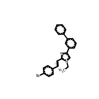 CCn1cc(-c2cccc(-c3ccccc3)c2)nc1/C=C/c1ccc(Br)cc1